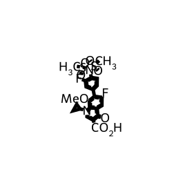 COc1c(-c2ccc(N(S(C)(=O)=O)S(C)(=O)=O)c(F)c2)c(F)cc2c(=O)c(C(=O)O)cn(C3CC3)c12